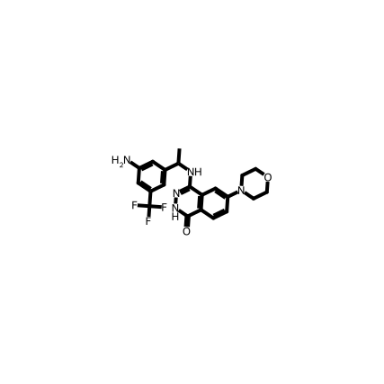 CC(Nc1n[nH]c(=O)c2ccc(N3CCOCC3)cc12)c1cc(N)cc(C(F)(F)F)c1